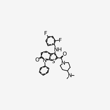 CN(C)C1CCN(C(=O)c2sc3c(ccc(=O)n3-c3ccccc3)c2Nc2ccc(F)cc2F)CC1